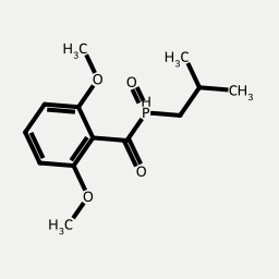 COc1cccc(OC)c1C(=O)[PH](=O)CC(C)C